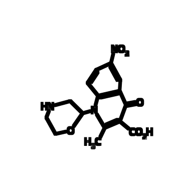 Cc1c(C(=O)O)c(=O)c2cc([N+](=O)[O-])ccc2n1C1CNCCO1